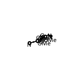 COc1cc(C#Cc2cccnc2)cc(OC)c1S(=O)(=O)Nc1noc2cc(Cn3cccn3)cc(OC)c12